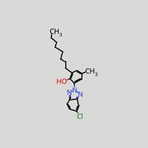 CCCCCCCCc1cc(C)cc(-n2nc3ccc(Cl)cc3n2)c1O